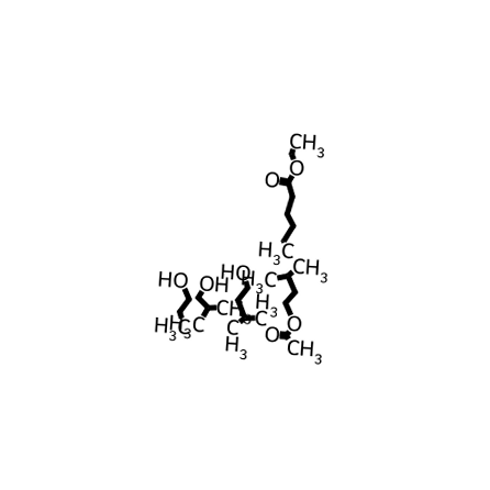 CC(=O)OCCC(C)C.CC(C)CCO.CC(C)CO.CCCCCC(=O)OCC.CCCO